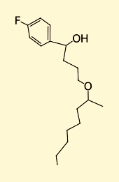 CCCCCCC(C)OCCCC(O)c1ccc(F)cc1